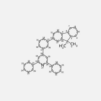 CC1(C)c2ccccc2-c2ccc(-c3cccc(-c4cc(-c5ccccc5)nc(-c5ccccc5)c4)c3)cc21